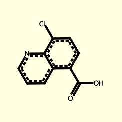 O=C(O)c1ccc(Cl)c2ncccc12